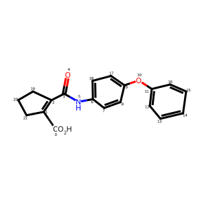 O=C(O)C1=C(C(=O)Nc2ccc(Oc3ccccc3)cc2)CCC1